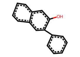 Oc1cc2ccccc2cc1-c1ccccc1